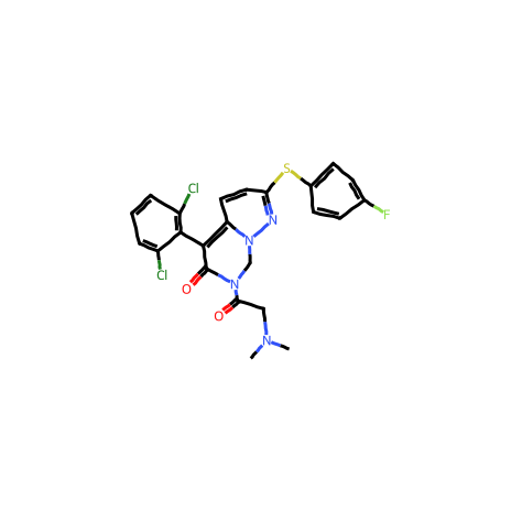 CN(C)CC(=O)N1CN2N=C(Sc3ccc(F)cc3)C=CC2=C(c2c(Cl)cccc2Cl)C1=O